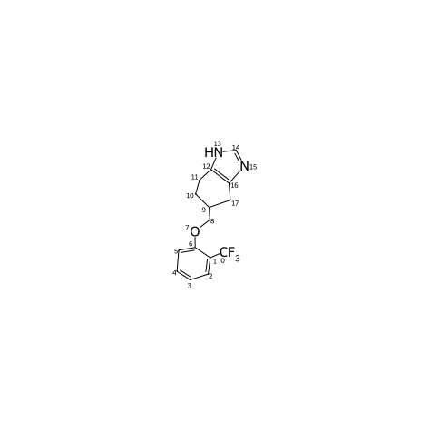 FC(F)(F)c1ccccc1OCC1CCc2[nH]cnc2C1